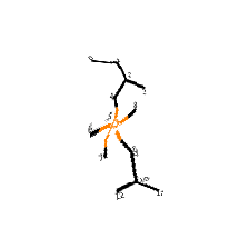 CCC(C)CP(C)(C)(C)CC(C)C